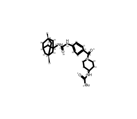 CCC(C)C(=O)NC1CCN(C(=O)c2ccc(NC(=O)NC34CC5C[C@@](C)(C3)C[C@](C)(C5)C4)cc2)CC1